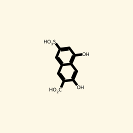 O=C(O)c1cc2cc(S(=O)(=O)O)cc(O)c2cc1O